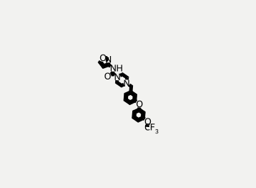 O=C(Nc1ccon1)N1CCN(Cc2cccc(Oc3cccc(OC(F)(F)F)c3)c2)CC1